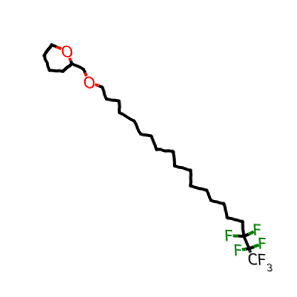 FC(F)(F)C(F)(F)C(F)(F)CCCCCCCCCCCCCCCCCOCC1CCCCO1